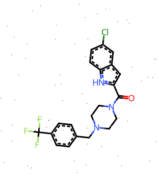 O=C(c1cc2cc(Cl)ccc2[nH]1)N1CCN(Cc2ccc(C(F)(F)F)cc2)CC1